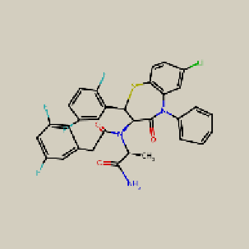 C[C@@H](C(N)=O)N(C(=O)Cc1cc(F)cc(F)c1)[C@@H]1C(=O)N(c2ccccc2)c2cc(Cl)ccc2S[C@@H]1c1cc(F)ccc1F